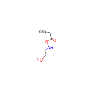 CCCCCC(=O)ONCCO